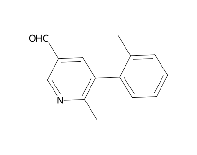 Cc1ccccc1-c1cc(C=O)cnc1C